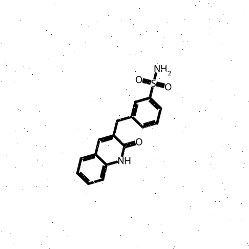 NS(=O)(=O)c1cccc(Cc2cc3ccccc3[nH]c2=O)c1